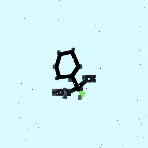 N#CC(F)(C1CCCCC1)S(=O)(=O)O